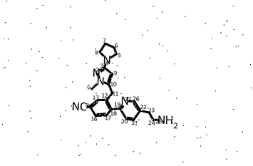 Cn1nc(N2CCCC2)cc1Cc1cc(C#N)ccc1-c1ccc(CCN)cn1